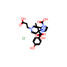 CCC1N(C(=O)O)C2=C[N+]1(C(=O)O)N2C1(C(=O)c2ccc(O)cc2)C=CN(CCC(=O)O)C=C1.[Cl-]